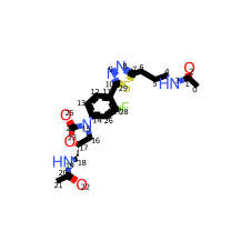 CC(=O)NCCCc1nnc(-c2ccc(N3C[C@H](CNC(C)=O)OC3=O)cc2F)s1